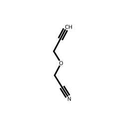 C#CCOCC#N